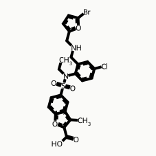 CCN(c1ccc(Cl)cc1CNCc1ccc(Br)o1)S(=O)(=O)c1ccc2oc(C(=O)O)c(C)c2c1